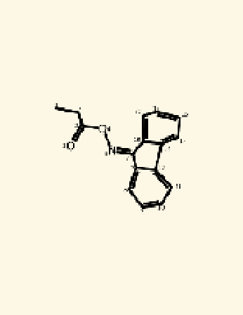 CCC(=O)ON=C1c2ccccc2-c2ccccc21